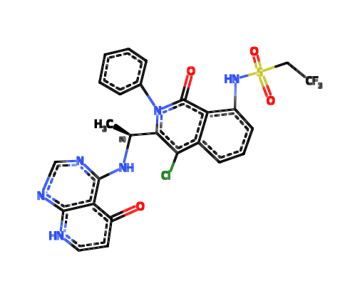 C[C@H](Nc1ncnc2[nH]ccc(=O)c12)c1c(Cl)c2cccc(NS(=O)(=O)CC(F)(F)F)c2c(=O)n1-c1ccccc1